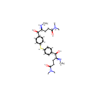 CC(=O)O/N=C(\CCC(=O)N(C)C)C(=O)c1ccc(Sc2ccc(C(=O)/C(CCC(=O)N(C)C)=N/OC(C)=O)cc2)cc1